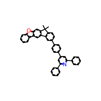 CC1(C)c2ccc(-c3ccc(-c4cc(-c5ccccc5)nc(-c5ccccc5)c4)cc3)cc2-c2cc3c(cc21)oc1ccccc13